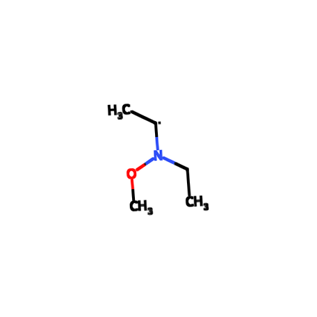 C[CH]N(CC)OC